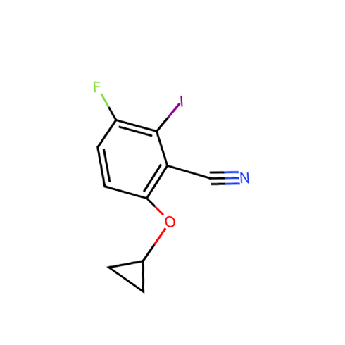 N#Cc1c(OC2CC2)ccc(F)c1I